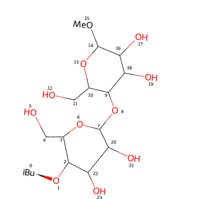 CC[C@H](C)OC1C(CO)OC(OC2C(CO)OC(OC)C(O)C2O)C(O)C1O